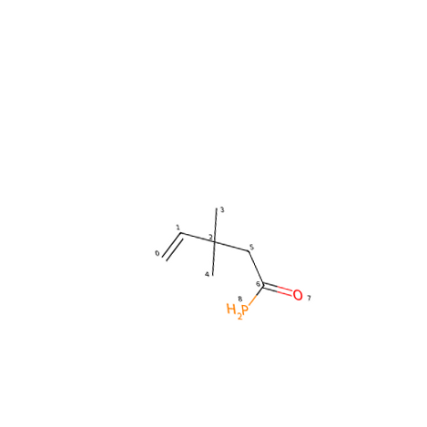 C=CC(C)(C)CC(=O)P